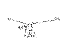 CCCCCCCCCCCCSC(=S)SC(CCCCCCCCC)(CC(CI)C(=O)OC(C)(C)C)C(=O)OC